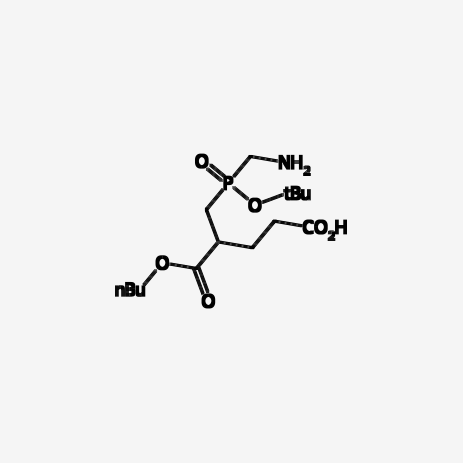 CCCCOC(=O)C(CCC(=O)O)CP(=O)(CN)OC(C)(C)C